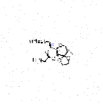 CCCCCCC/C=C/[C@@H]1OC[C@H](C)C2(OCCO2)[C@H]1OC(=O)CN